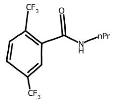 CCCNC(=O)c1cc(C(F)(F)F)ccc1C(F)(F)F